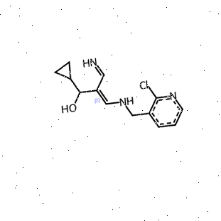 N=C/C(=C\NCc1cccnc1Cl)C(O)C1CC1